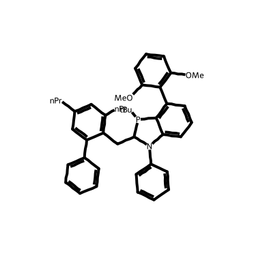 CCCc1cc(CCC)c(CC2N(c3ccccc3)c3cccc(-c4c(OC)cccc4OC)c3P2C(C)(C)C)c(-c2ccccc2)c1